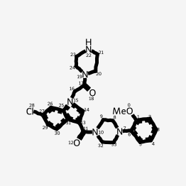 COc1ccccc1N1CCN(C(=O)c2cn(CC(=O)N3CCNCC3)c3cc(Cl)ccc23)CC1